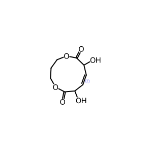 O=C1OCCCOC(=O)C(O)/C=C\C1O